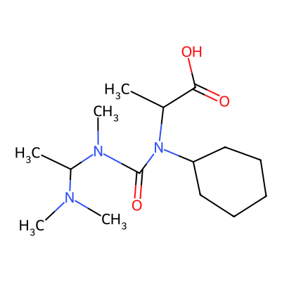 CC(N(C)C)N(C)C(=O)N(C1CCCCC1)C(C)C(=O)O